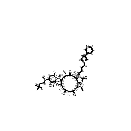 CC[C@H]1OC(=O)[C@H](C)C(=O)[C@H](C)[C@@H](O[C@@H]2O[C@H](C)C[C@H](N(C)CCC(C)(C)C)[C@H]2O)[C@](C)(OC)C[C@@H](C)C(=O)[C@H](C)[C@H]2N(CCCCn3cnc(-c4cccnc4)c3)C(=O)O[C@]12C